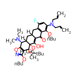 C=CCN(CC=C)c1cc(F)c2c(c1OCCCC)C(=O)C1=C(O)[C@]3(O[Si](C)(C)C(C)(C)C)C(=O)c4c(OCCCC)noc4[C@@H](N(C)C)[C@@H]3C[C@@H]1C2